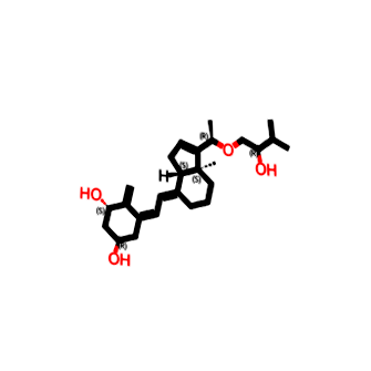 C=C1C(=CC=C2CCC[C@]3(C)C([C@@H](C)OC[C@H](O)C(C)C)=CC[C@@H]23)C[C@@H](O)C[C@@H]1O